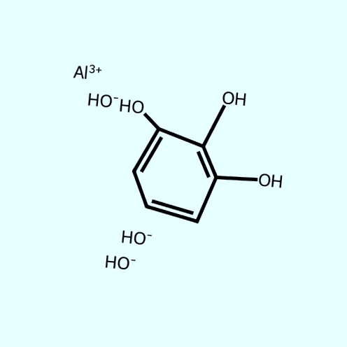 Oc1cccc(O)c1O.[Al+3].[OH-].[OH-].[OH-]